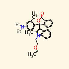 C=COCCn1c(C)c(C2(c3ccc(N(CC)CC)cc3C)OC(=O)c3ccccc32)c2ccccc21